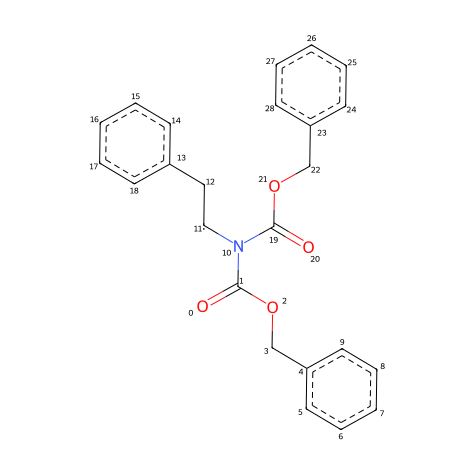 O=C(OCc1ccccc1)N([CH]Cc1ccccc1)C(=O)OCc1ccccc1